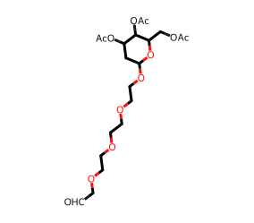 CC(=O)OCC1OC(OCCOCCOCCOCC=O)CC(OC(C)=O)C1OC(C)=O